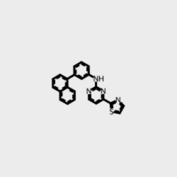 c1cc(Nc2nccc(-c3nccs3)n2)cc(-c2cccc3ccccc23)c1